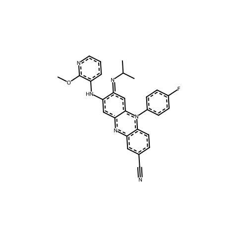 COc1ncccc1Nc1cc2nc3cc(C#N)ccc3n(-c3ccc(F)cc3)c-2cc1=NC(C)C